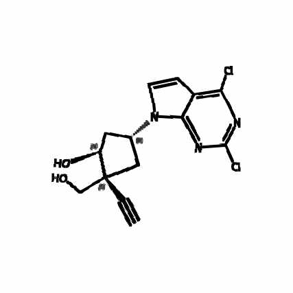 C#C[C@]1(CO)C[C@@H](n2ccc3c(Cl)nc(Cl)nc32)C[C@@H]1O